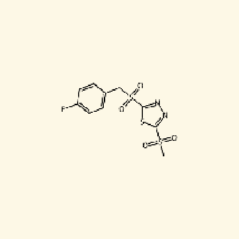 CS(=O)(=O)c1nnc(S(=O)(=O)Cc2ccc(F)cc2)s1